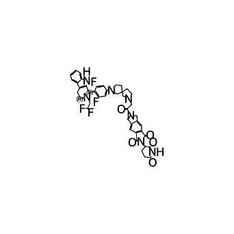 C[C@@H]1Cc2c([nH]c3ccccc23)[C@@H](c2c(F)cc(N3CCC4(CCN(CC(=O)N5Cc6cc7c(cc6C5)C(=O)N(C5CCC(=O)NC5=O)C7=O)C4)C3)cc2F)N1CC(F)F